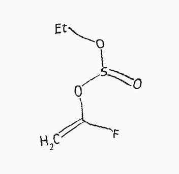 C=C(F)OS(=O)OCC